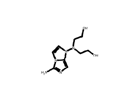 Nc1ncc2n(N(CCO)CCO)ccn12